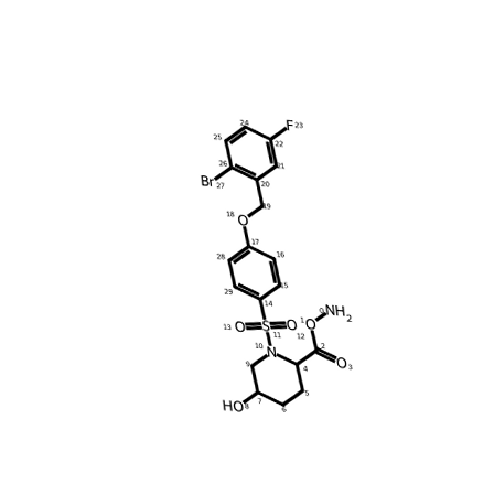 NOC(=O)C1CCC(O)CN1S(=O)(=O)c1ccc(OCc2cc(F)ccc2Br)cc1